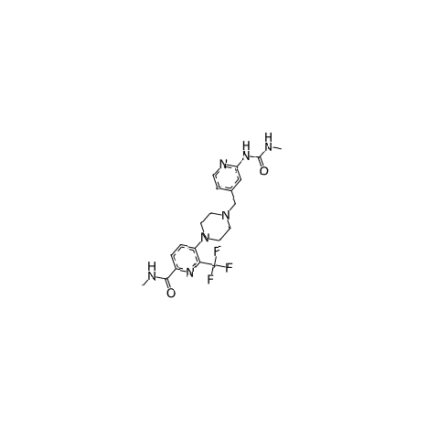 CNC(=O)Nc1cc(CN2CCN(c3ccc(C(=O)NC)nc3C(F)(F)F)CC2)ccn1